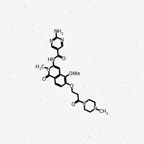 COc1c(OCCC(=O)N2CCN(C)CC2)ccc2c(=O)n(C)c(NC(=O)c3cnc(N)nc3)cc12